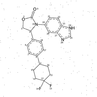 O=C1OCC(c2ccc(C3CCC(F)(F)CC3)cc2)N1c1ccc2[nH]cnc2c1